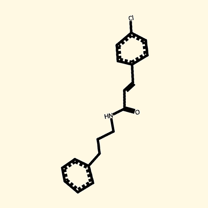 O=C(C=Cc1ccc(Cl)cc1)NCCCc1ccccc1